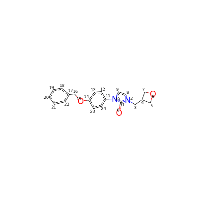 O=c1n(CC2COC2)ccn1-c1ccc(OCc2ccccc2)cc1